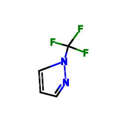 FC(F)(F)n1cccn1